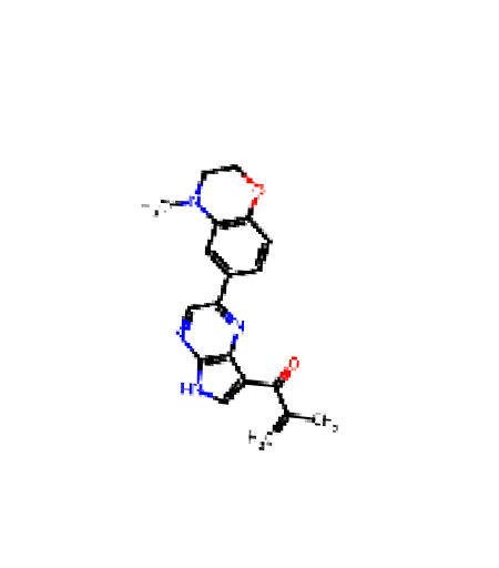 C=C(C)C(=O)c1c[nH]c2ncc(-c3ccc4c(c3)N(C)CCO4)nc12